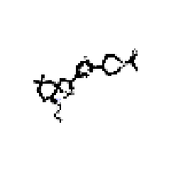 CO/N=C1\CCC(C)(C)CC12CC(c1csc(C3CCN(C(C)=O)CC3)n1)=NO2